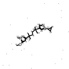 COc1cc(C(C)(C)CCC(C)(C)c2cnn(C3CC3)c2)nn1C